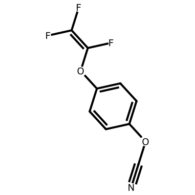 N#COc1ccc(OC(F)=C(F)F)cc1